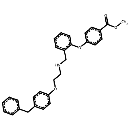 COC(=O)c1ccc(Oc2ccccc2CNCCOc2ccc(Cc3ccccc3)cc2)cc1